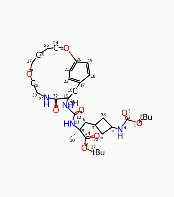 CC(C)(C)OC(=O)NC1CC(C[C@](C)(NC(=O)N[C@@H]2Cc3ccc(cc3)OCCCCOCCNC2=O)C(=O)OC(C)(C)C)C1